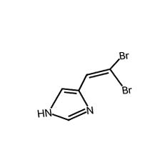 BrC(Br)=Cc1c[nH]cn1